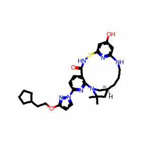 CC1(C)C[C@@H]2CCCNc3cc(O)cc(n3)SNC(=O)c3ccc(-n4ccc(OCCC5CCCC5)n4)nc3N1C2